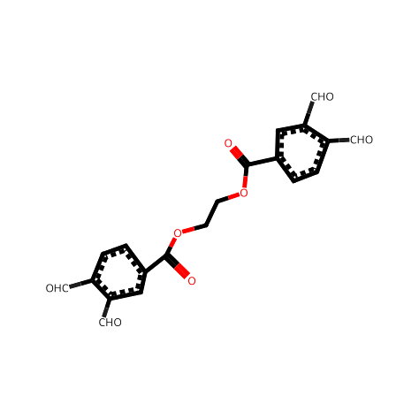 O=Cc1ccc(C(=O)OCCOC(=O)c2ccc(C=O)c(C=O)c2)cc1C=O